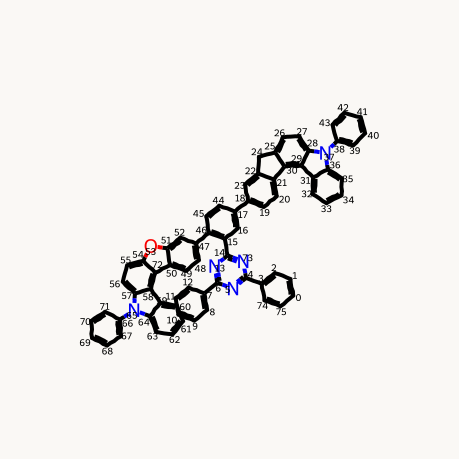 c1ccc(-c2nc(-c3ccccc3)nc(-c3cc(-c4ccc5c(c4)Cc4ccc6c(c4-5)c4ccccc4n6-c4ccccc4)ccc3-c3ccc4c(c3)oc3ccc5c(c6ccccc6n5-c5ccccc5)c34)n2)cc1